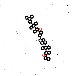 C1=C(c2ccc3c(ccc4oc5cc(-c6c7ccccc7c(-c7ccc8c9ccccc9c9ccccc9c8c7)c7ccccc67)c6ccccc6c5c43)c2)c2ccc3ccc(-c4c5ccccc5c(-c5cc6oc7ccc8ccccc8c7c6c6ccccc56)c5ccccc45)c4c3c2C(=CC4)C1